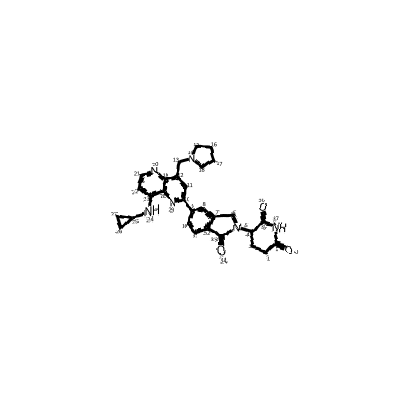 O=C1CCC(N2Cc3cc(-c4cc(CN5CCCC5)c5nccc(NC6CC6)c5n4)ccc3C2=O)C(=O)N1